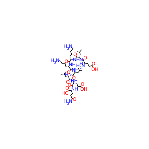 CC(C)C[C@H](NC(=O)[C@H](CC(C)C)NC(=O)[C@H](CCCCN)NC(=O)[C@H](CCCCN)NC(=O)[C@H](CC(C)C)NC(=O)[C@@H](N)CCC(=O)O)C(=O)N[C@@H](CCC(=O)O)C(=O)N[C@@H](CCC(N)=O)C(=O)O